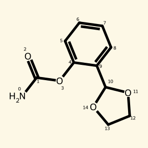 NC(=O)Oc1ccccc1C1OCCO1